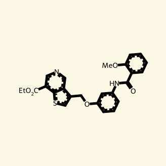 CCOC(=O)c1cncc2c(COc3cccc(NC(=O)c4ccccc4OC)c3)csc12